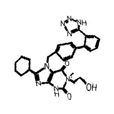 C[N+]1(CCO)C(=O)Nc2nc(C3CCCCC3)n(Cc3ccc(-c4ccccc4-c4nnn[nH]4)cc3)c2C1=O